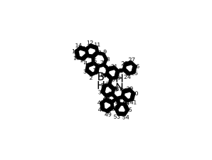 B1c2cccc3c2C(CCc2ccc4ccccc4c2-3)c2cc(-c3ccccc3)cc(-c3cccc4c3Nc3ccccc3C4(c3ccccc3)c3ccccc3)c21